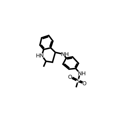 CC1CC(Nc2ccc(NS(C)(=O)=O)cc2)c2ccccc2N1